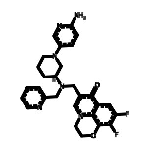 Nc1ccc(N2CCC[C@H](N(Cc3ccccn3)Cc3cn4c5c(c(F)c(F)cc5c3=O)OCC4)C2)cn1